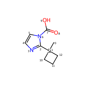 C[Si]1(c2nccn2C(=O)O)CCC1